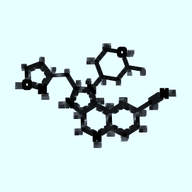 CC1CC(n2c(Cc3ccon3)nc3cnc4ccc(C#N)cc4c32)CCO1